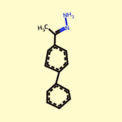 C/C(=N\N)c1ccc(-c2ccccc2)cc1